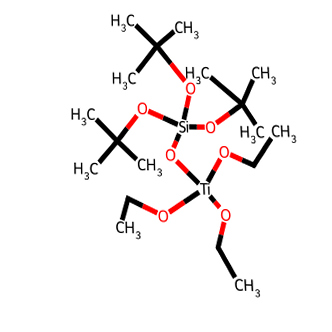 CC[O][Ti]([O]CC)([O]CC)[O][Si](OC(C)(C)C)(OC(C)(C)C)OC(C)(C)C